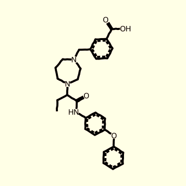 CCC(C(=O)Nc1ccc(Oc2ccccc2)cc1)N1CCCN(Cc2cccc(C(=O)O)c2)CC1